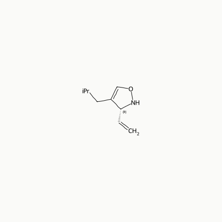 C=C[C@H]1NOC=C1CC(C)C